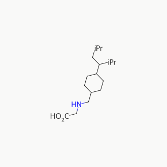 CC(C)CC(C(C)C)C1CCC(CNCC(=O)O)CC1